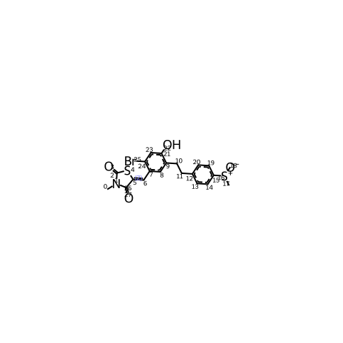 CN1C(=O)S/C(=C\c2cc(CCc3ccc([S+](C)[O-])cc3)c(O)cc2Br)C1=O